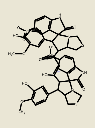 COc1ccc(C2C3CSCN3C3(C(=O)NC4=C3CC([N+](=O)[O-])C=C4)C2/C(O)=C/C(=O)C2C3CSCN3C3(C(=O)Nc4ccc([N+](=O)[O-])cc43)C2c2ccc(O)c(OC)c2)cc1O